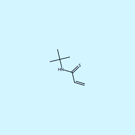 C=CC(=S)NC(C)(C)C